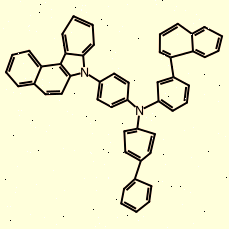 c1ccc(-c2ccc(N(c3ccc(-n4c5ccccc5c5c6ccccc6ccc54)cc3)c3cccc(-c4cccc5ccccc45)c3)cc2)cc1